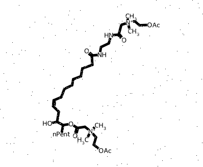 CCCCCC(OC(=O)C[N+](C)(C)CCOC(C)=O)C(O)C/C=C\CCCCCCCC(=O)NCCNC(=O)C[N+](C)(C)CCOC(C)=O